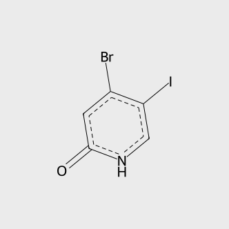 O=c1cc(Br)c(I)c[nH]1